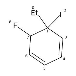 CCC1(I)C=CC=CC1F